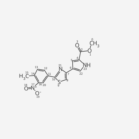 COC(=O)c1cc(-c2csc(-c3ccc(C)c([N+](=O)[O-])c3)n2)c[nH]1